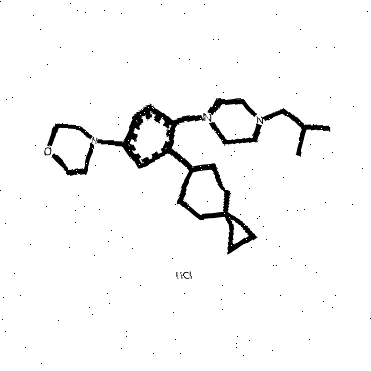 CC(C)CN1CCN(c2ccc(N3CCOCC3)cc2C2CCC3(CC2)CC3)CC1.Cl